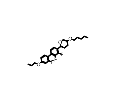 CCCCCOC1CCC(c2ccc(-c3ccc(OCCC)cc3F)c(F)c2F)OC1